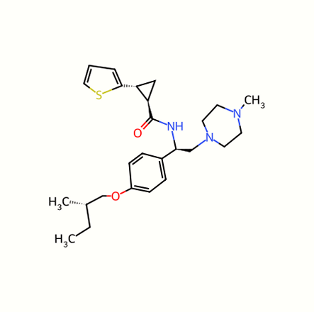 CC[C@H](C)COc1ccc([C@H](CN2CCN(C)CC2)NC(=O)[C@@H]2C[C@H]2c2cccs2)cc1